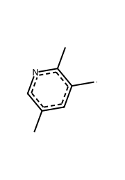 [CH2]c1cc(C)cnc1C